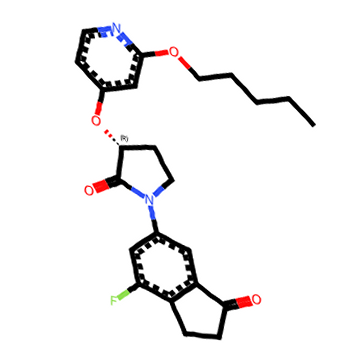 CCCCCOc1cc(O[C@@H]2CCN(c3cc(F)c4c(c3)C(=O)CC4)C2=O)ccn1